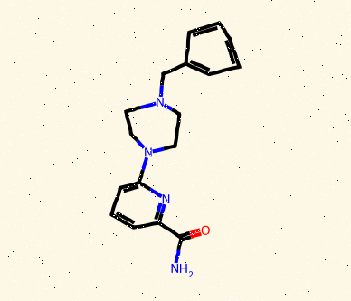 NC(=O)c1[c]ccc(N2CCN(Cc3ccccc3)CC2)n1